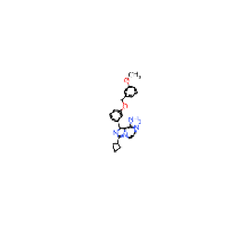 COc1cccc(COc2cccc(-c3nc(C4CCC4)n4ccnc(N)c34)c2)c1